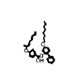 CCCCCCC(C)Oc1ccc(C(=O)O)cc1.CCCCCCCCOc1ccc(-c2ccccc2)cc1